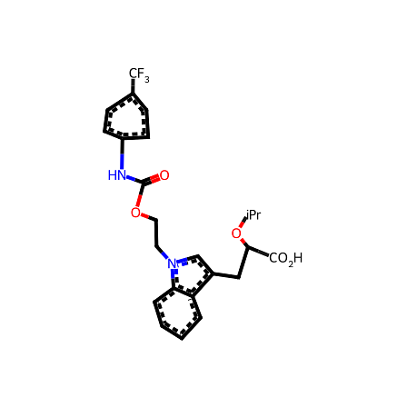 CC(C)OC(Cc1cn(CCOC(=O)Nc2ccc(C(F)(F)F)cc2)c2ccccc12)C(=O)O